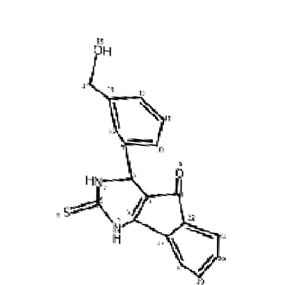 O=C1C2=C(NC(=S)NC2c2cccc(CO)c2)c2ccccc21